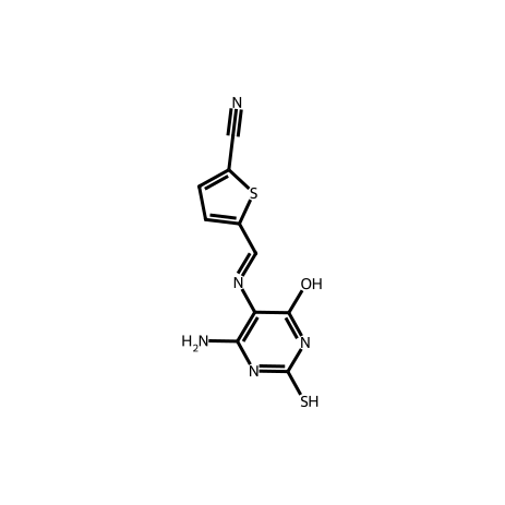 N#Cc1ccc(C=Nc2c(N)nc(S)nc2O)s1